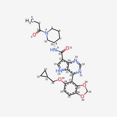 CCC(=O)N1CCC[C@H](NC(=O)c2c[nH]c3c(-c4c(OCC5CC5)ccc5c4OCO5)ncnc23)C1